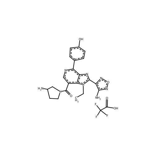 CCn1c(-c2nonc2N)nc2c(-c3ccc(O)cc3)ncc(C(=O)N3CCC(N)C3)c21.O=C(O)C(F)(F)F